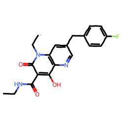 [CH2]Cn1c(=O)c(C(=O)NCC)c(O)c2ncc(Cc3ccc(F)cc3)cc21